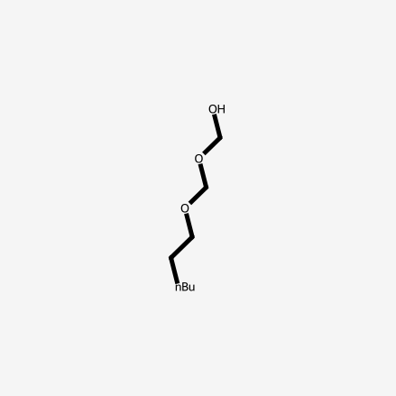 CCCCCCOCOCO